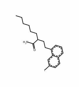 CCCCCCC(CCc1cccc2ccc(I)cc12)C(N)=O